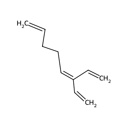 C=CCCC=C(C=C)C=C